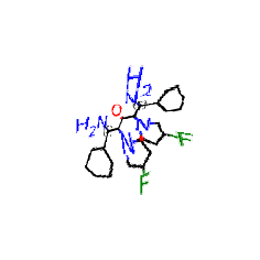 N[C@@H](C1CCCCC1)C(C(=O)C([C@@H](N)C1CCCCC1)N1CCC(F)C1)N1CCC(F)C1